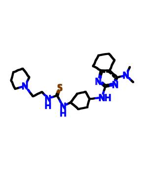 CN(C)c1nc(NC2CCC(NC(=S)NCCN3CCCCC3)CC2)nc2c1CCCC2